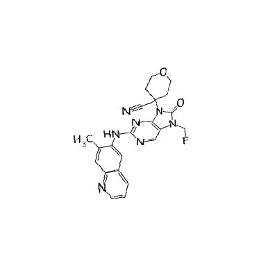 Cc1cc2ncccc2cc1Nc1ncc2c(n1)n(C1(C#N)CCOCC1)c(=O)n2CF